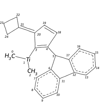 [CH3][Ti]([CH3])[C]1=C(C2c3ccccc3-c3ccccc32)C=CC1=C1CCC1